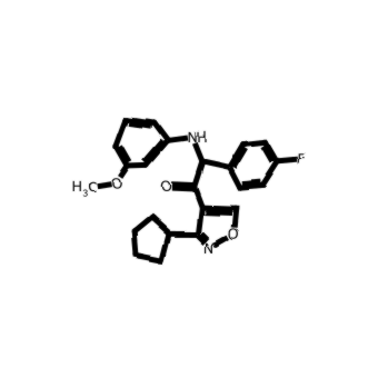 COc1cccc(NC(C(=O)c2conc2C2CCCC2)c2ccc(F)cc2)c1